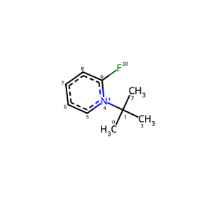 CC(C)(C)[n+]1ccccc1F